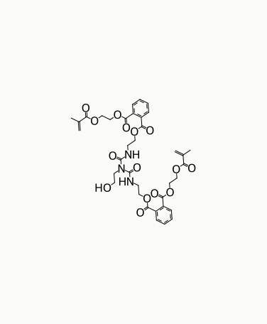 C=C(C)C(=O)OCCOC(=O)c1ccccc1C(=O)OCCNC(=O)N(CCO)C(=O)NCCOC(=O)c1ccccc1C(=O)OCCOC(=O)C(=C)C